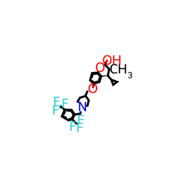 C[C@H](C(=O)O)[C@H](c1cccc(OCC2CCN(Cc3cc(C(F)(F)F)ccc3C(F)(F)F)CC2)c1)C1CC1